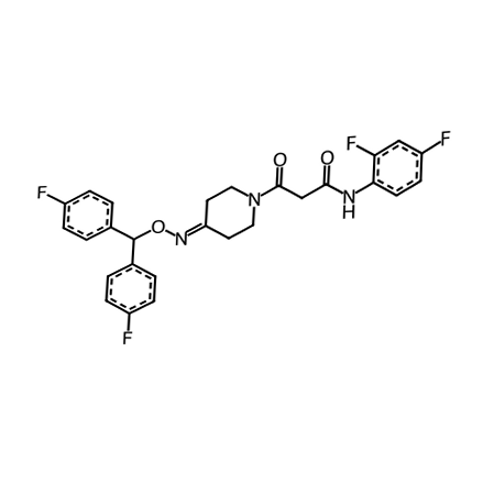 O=C(CC(=O)N1CCC(=NOC(c2ccc(F)cc2)c2ccc(F)cc2)CC1)Nc1ccc(F)cc1F